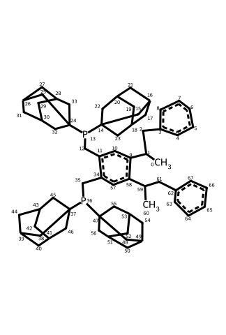 CC(Cc1ccccc1)c1cc(CP(C23CC4CC(CC(C4)C2)C3)C23CC4CC(CC(C4)C2)C3)c(CP(C23CC4CC(CC(C4)C2)C3)C23CC4CC(CC(C4)C2)C3)cc1C(C)Cc1ccccc1